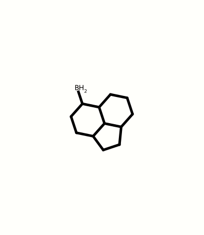 BC1CCC2CCC3CCCC1C32